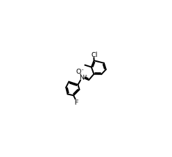 Cc1c(Cl)cccc1C=[N+]([O-])c1cccc(F)c1